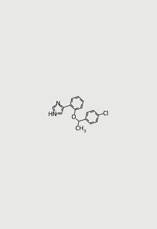 CC(Oc1ccccc1-c1c[nH]cn1)c1ccc(Cl)cc1